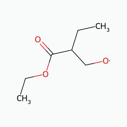 CCOC(=O)C(CC)C[O]